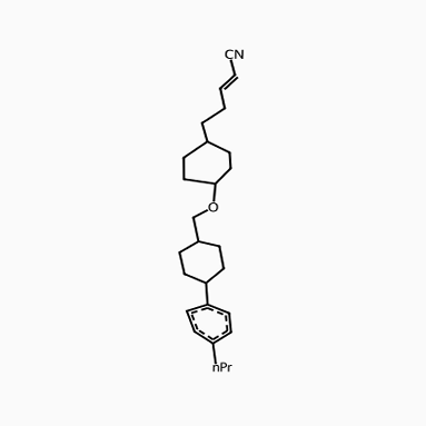 CCCc1ccc(C2CCC(COC3CCC(CCC=CC#N)CC3)CC2)cc1